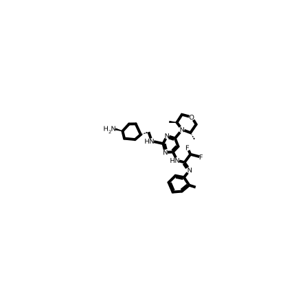 Cc1ccccc1/N=C(\Nc1cc(N2[C@@H](C)COC[C@@H]2C)nc(NC[C@H]2CC[C@H](N)CC2)n1)C(F)F